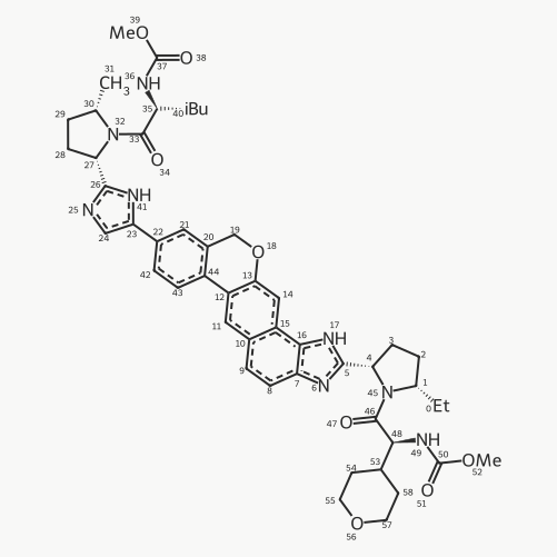 CC[C@H]1CC[C@@H](c2nc3ccc4cc5c(cc4c3[nH]2)OCc2cc(-c3cnc([C@@H]4CC[C@H](C)N4C(=O)[C@@H](NC(=O)OC)[C@@H](C)CC)[nH]3)ccc2-5)N1C(=O)[C@@H](NC(=O)OC)C1CCOCC1